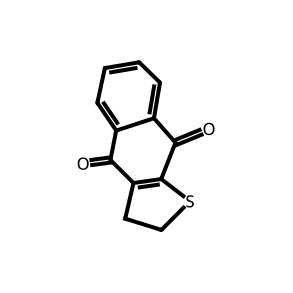 O=C1C2=C(SCC2)C(=O)c2ccccc21